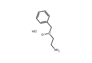 Cl.NCC[S+]([O-])Cc1ccccc1